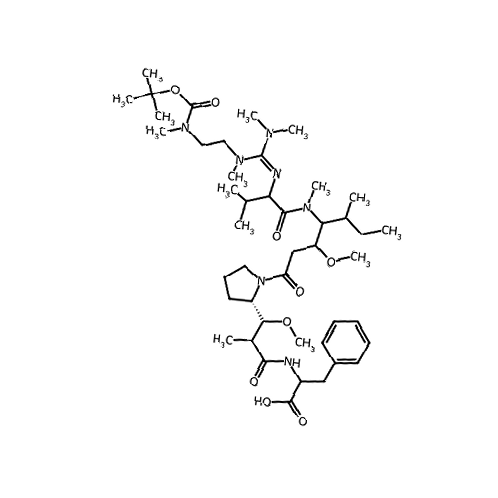 CCC(C)C(C(CC(=O)N1CCC[C@H]1C(OC)C(C)C(=O)NC(Cc1ccccc1)C(=O)O)OC)N(C)C(=O)C(/N=C(/N(C)C)N(C)CCN(C)C(=O)OC(C)(C)C)C(C)C